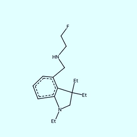 CCN1CC(CC)(CC)c2c(CNCCF)cccc21